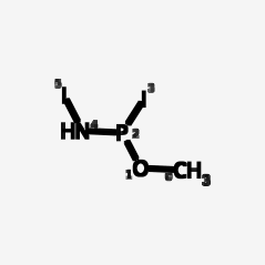 COP(I)NI